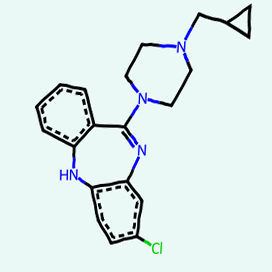 Clc1ccc2c(c1)N=C(N1CCN(CC3CC3)CC1)c1ccccc1N2